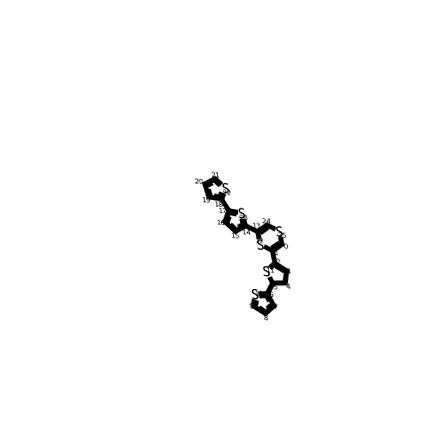 C1=C(C2=CCC(c3cccs3)S2)SC(c2ccc(-c3cccs3)s2)=CS1